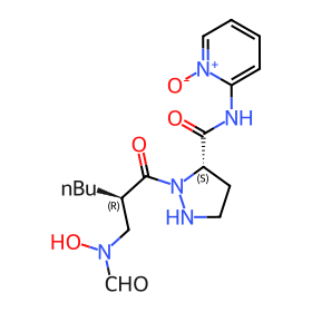 CCCC[C@H](CN(O)C=O)C(=O)N1NCC[C@H]1C(=O)Nc1cccc[n+]1[O-]